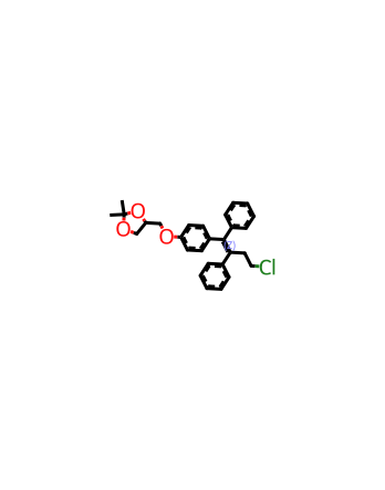 CC1(C)OCC(COc2ccc(/C(=C(/CCCl)c3ccccc3)c3ccccc3)cc2)O1